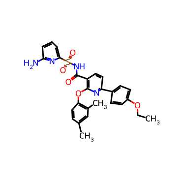 CCOc1ccc(-c2ccc(C(=O)NS(=O)(=O)c3cccc(N)n3)c(Oc3ccc(C)cc3C)n2)cc1